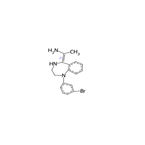 C/C(N)=C1/NCCN(c2cccc(Br)c2)c2ccccc21